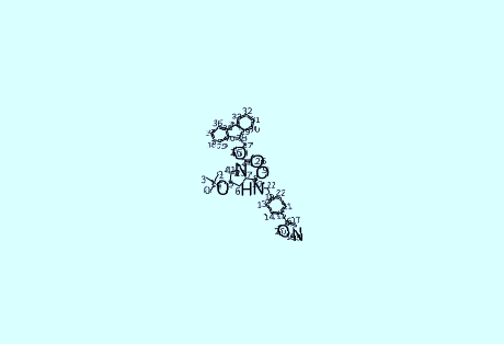 CC(C)(C)OC1CC(C(=O)NCc2ccc(-c3cnco3)cc2)N(C(=O)OCC2c3ccccc3-c3ccccc32)C1